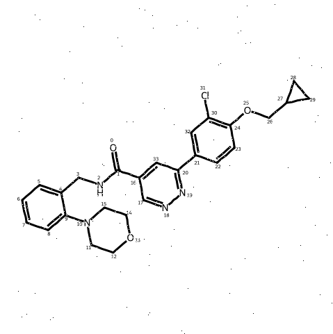 O=C(NCc1ccccc1N1CCOCC1)c1cnnc(-c2ccc(OCC3CC3)c(Cl)c2)c1